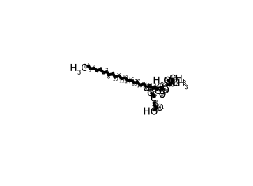 CCCCCCCCCCCCCCCCCCCCOCC(COP(=O)(O)OCC[N+](C)(C)C)OCCCCC(=O)O